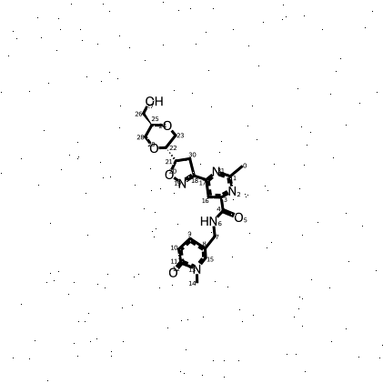 Cc1nc(C(=O)NCc2ccc(=O)n(C)c2)cc(C2=NOC([C@H]3CO[C@H](CO)CO3)C2)n1